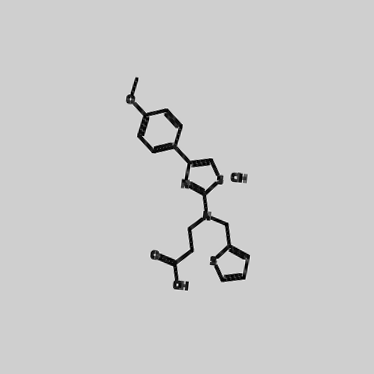 COc1ccc(-c2csc(N(CCC(=O)O)Cc3cccs3)n2)cc1.Cl